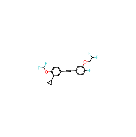 Fc1ccc(C#Cc2ccc(OC(F)F)c(C3CC3)c2)cc1OCC(F)F